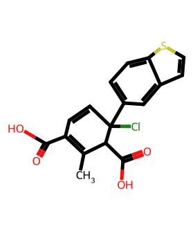 CC1=C(C(=O)O)C=CC(Cl)(c2ccc3sccc3c2)C1C(=O)O